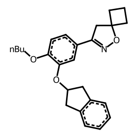 CCCCOc1ccc(C2=NOC3(CCC3)C2)cc1OC1Cc2ccccc2C1